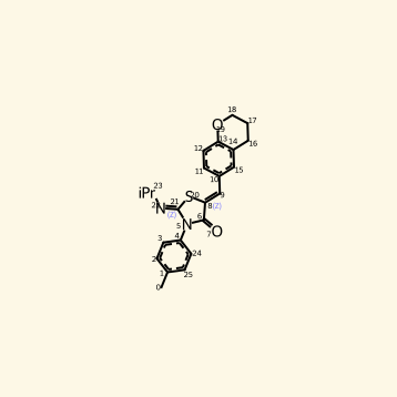 Cc1ccc(N2C(=O)/C(=C/c3ccc4c(c3)CCCO4)S/C2=N\C(C)C)cc1